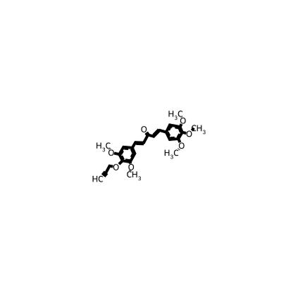 C#CCOc1c(OC)cc(C=CC(=O)C=Cc2cc(OC)c(OC)c(OC)c2)cc1OC